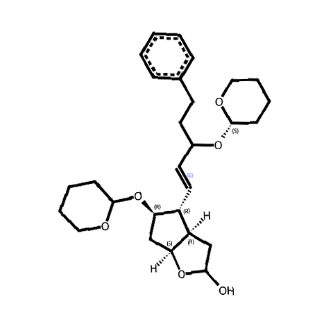 OC1C[C@@H]2[C@@H](/C=C/C(CCc3ccccc3)O[C@H]3CCCCO3)[C@H](OC3CCCCO3)C[C@@H]2O1